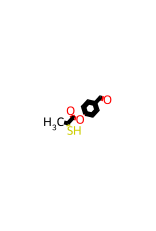 CC(S)C(=O)Oc1ccc(C=O)cc1